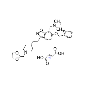 CN(C)Cc1c(OCc2ccccn2)ccc2c(CCC3CCN(CC4OCCO4)CC3)noc12.O=C(O)/C=C/C(=O)O